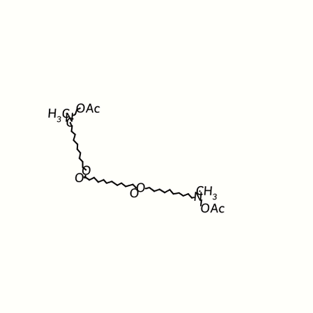 CC(=O)OCCN(C)CCCCCCCCCCCOC(=O)CCCCCCCCCCC(=O)OCCCCCCCCCCCN(C)CCOC(C)=O